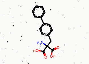 NC(Cc1ccc(-c2ccccc2)cc1)(C(=O)O)C(=O)O